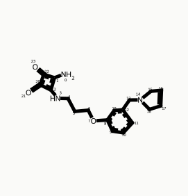 Nc1c(NCCCOc2cccc(CN3CC=CC3)c2)c(=O)c1=O